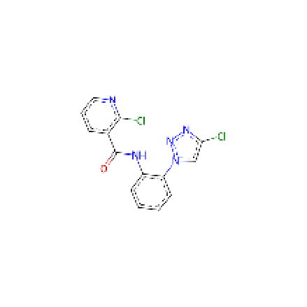 O=C(Nc1ccccc1-n1cc(Cl)nn1)c1cccnc1Cl